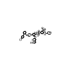 O=C(NS(=O)(=O)c1ccc(NCC2CCOCC2)c([N+](=O)[O-])c1)c1ccc(N2CCN(Cc3ccccc3-c3ccc(Cl)cc3)CC2)cc1Oc1cnc2[nH]ccc2c1